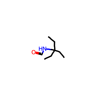 CCC(CC)(CC)NC=O